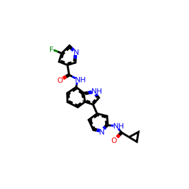 O=C(Nc1cccc2c(-c3ccnc(NC(=O)C4CC4)c3)c[nH]c12)c1cncc(F)c1